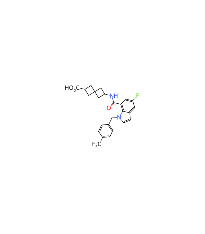 O=C(NC1CC2(C1)CC(C(=O)O)C2)c1cc(F)cc2ccn(Cc3ccc(C(F)(F)F)cc3)c12